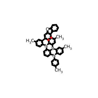 Cc1ccc(N2c3ccc(C)cc3B3c4cc(C)ccc4N(c4ccc(C)cc4-c4ccc5c(c4)oc4ccccc45)c4cccc2c43)cc1